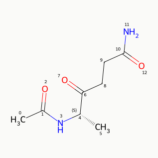 CC(=O)N[C@@H](C)C(=O)CCC(N)=O